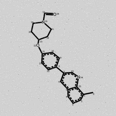 Cc1cccc2cc(-c3ccc(OC4CCN(C=O)CC4)cc3)cnc12